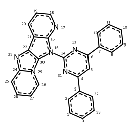 c1ccc(-c2cc(-c3ccccc3)nc(-n3c4ncccc4c4nc5ccccn5c43)n2)cc1